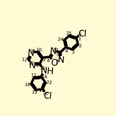 Clc1ccc(-c2noc(-c3cncnc3Nc3cccc(Cl)c3)n2)cc1